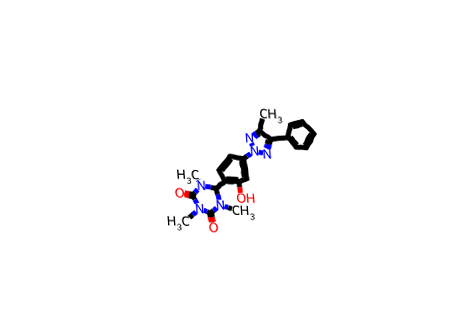 Cc1nn(-c2ccc(C3N(C)C(=O)N(C)C(=O)N3C)c(O)c2)nc1-c1ccccc1